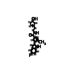 Cn1nc(C(=O)NCCN2CC[C@H](O)C2)cc1-c1cc2cc(F)ccc2[nH]1